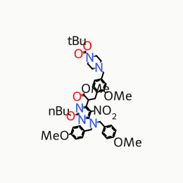 CCCCOc1nc(C(Cc2ccc(CN3CCN(C(=O)OC(C)(C)C)CC3)cc2OC)C(=O)OC)c([N+](=O)[O-])c(N(Cc2ccc(OC)cc2)Cc2ccc(OC)cc2)n1